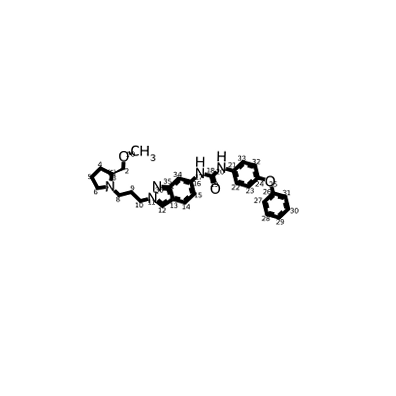 COC[C@@H]1CCCN1CCCn1cc2ccc(NC(=O)Nc3ccc(Oc4ccccc4)cc3)cc2n1